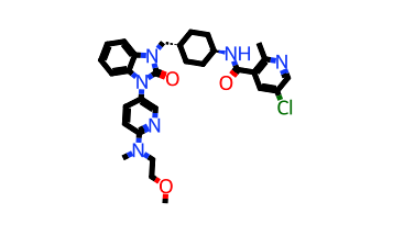 COCCN(C)c1ccc(-n2c(=O)n(C[C@H]3CC[C@H](NC(=O)c4cc(Cl)cnc4C)CC3)c3ccccc32)cn1